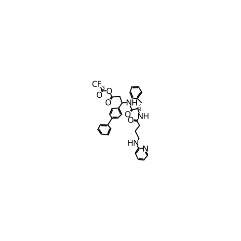 O=C(CCCNc1ccccn1)N[C@@H](Cc1ccccc1)C(=O)NC(CC(=O)OC(=O)C(F)(F)F)c1ccc(-c2ccccc2)cc1